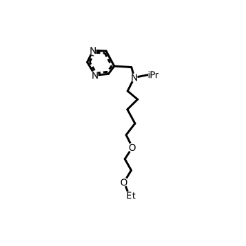 CCOCCOCCCCCN(Cc1cncnc1)C(C)C